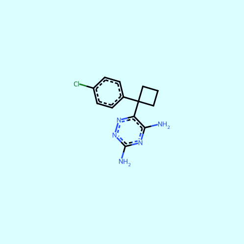 Nc1nnc(C2(c3ccc(Cl)cc3)CCC2)c(N)n1